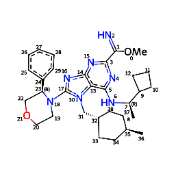 COC(=N)c1nc(N[C@H](C)C2CCC2)c2c(n1)nc(N1CCOC[C@H]1c1ccccc1)n2C[C@H]1CC[C@H](C)CC1